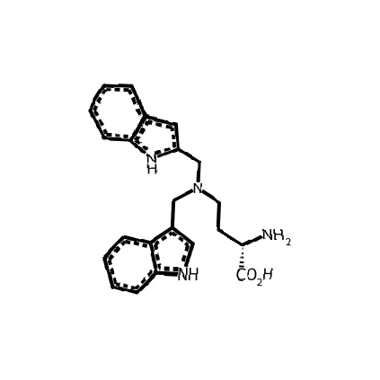 N[C@@H](CCN(Cc1cc2ccccc2[nH]1)Cc1c[nH]c2ccccc12)C(=O)O